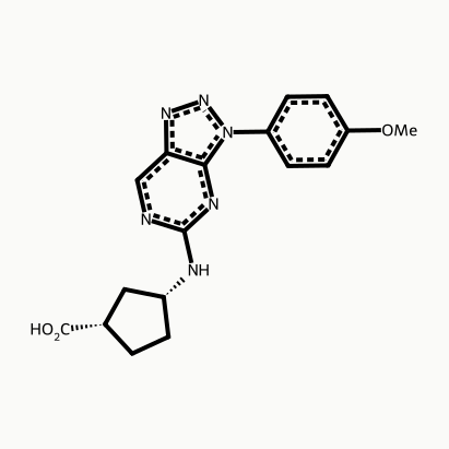 COc1ccc(-n2nnc3cnc(N[C@@H]4CC[C@H](C(=O)O)C4)nc32)cc1